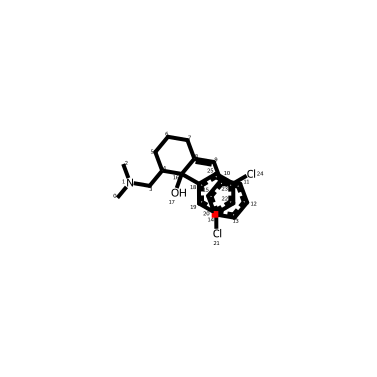 CN(C)CC1CCC/C(=C/c2ccccc2)C1(O)c1cc(Cl)cc(Cl)c1